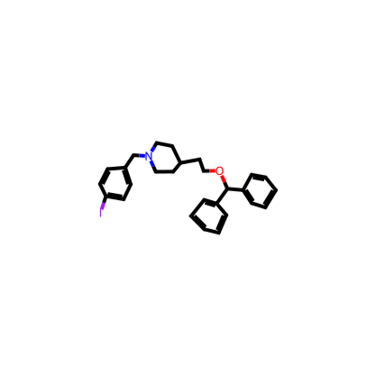 Ic1ccc(CN2CCC(CCOC(c3ccccc3)c3ccccc3)CC2)cc1